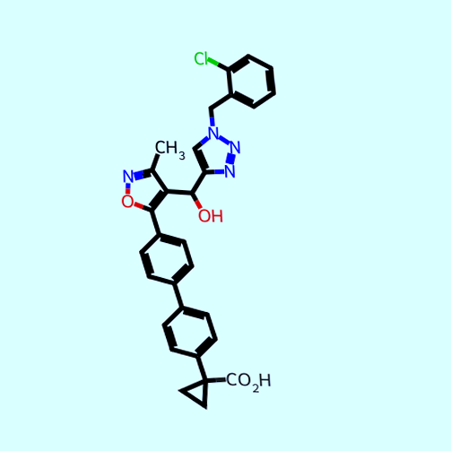 Cc1noc(-c2ccc(-c3ccc(C4(C(=O)O)CC4)cc3)cc2)c1C(O)c1cn(Cc2ccccc2Cl)nn1